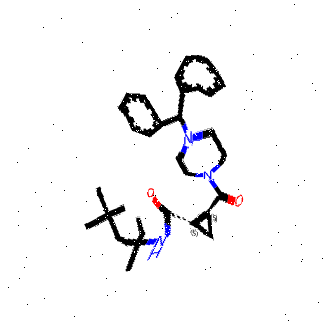 CC(C)(C)CC(C)(C)NC(=O)[C@H]1C[C@@H]1C(=O)N1CCN(C(c2ccccc2)c2ccccc2)CC1